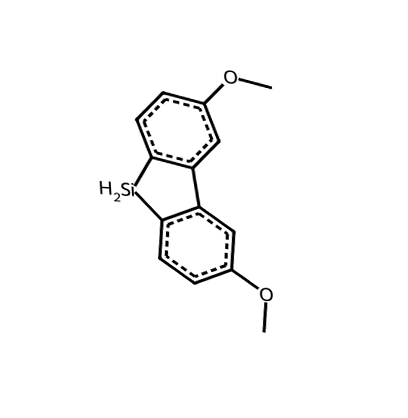 COc1ccc2c(c1)-c1cc(OC)ccc1[SiH2]2